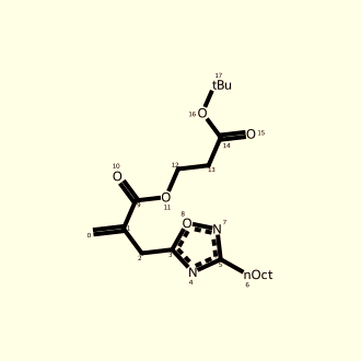 C=C(Cc1nc(CCCCCCCC)no1)C(=O)OCCC(=O)OC(C)(C)C